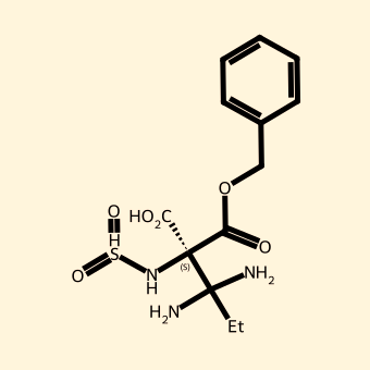 CCC(N)(N)[C@](N[SH](=O)=O)(C(=O)O)C(=O)OCc1ccccc1